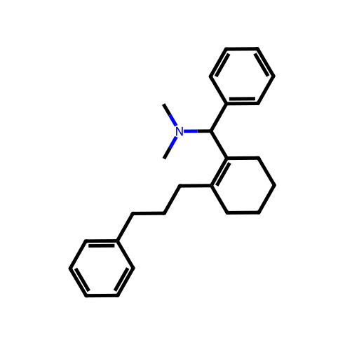 CN(C)C(C1=C(CCCc2ccccc2)CCCC1)c1ccccc1